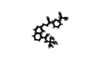 CC(C)(C)OC(=O)N1CCCc2ccc(CCC(=O)N3CCC[C@H](C(=O)O)C3)nc21